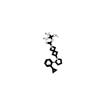 CC(C)(C)OC(=O)N1CC2(CC(N3CCC[C@H]3c3ccccc3C3CC3)C2)C1